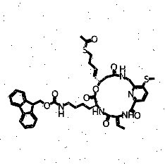 C/C=C1\NC(=O)c2ccc(SC)c(n2)CNC(=O)C[C@@H](/C=C/CCSC(C)=O)OC(=O)[C@H](CCCCNC(=O)OCC2c3ccccc3-c3ccccc32)NC1=O